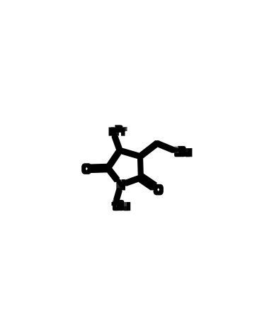 CCCC1C(=O)N(C(C)(C)C)C(=O)C1CC(C)(C)C